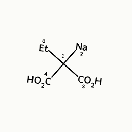 CC[C]([Na])(C(=O)O)C(=O)O